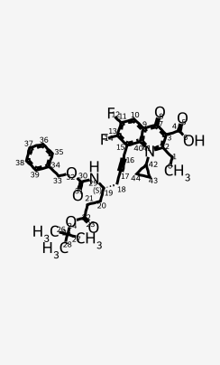 CCc1c(C(=O)O)c(=O)c2cc(F)c(F)c(C#CC[C@H](CCC(=O)OC(C)(C)C)NC(=O)OCc3ccccc3)c2n1C1CC1